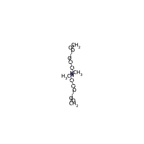 C=CC(=O)OCCCCOc1ccc(-c2ccc(/C(C)=N/N=C(\C)c3ccc(-c4ccc(OCCCCOC(=O)C=C)cc4)cc3)cc2)cc1